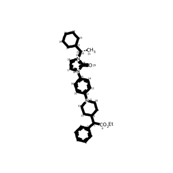 CCOC(=O)C(c1ccccc1)C1CCN(c2ccc(-n3ccn([C@@H](C)C4CCCCC4)c3=O)cc2)CC1